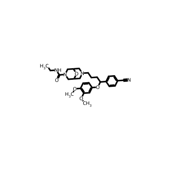 CCNC(=O)N1CC2CN(CCCC(Oc3ccc(OC)c(OC)c3)c3ccc(C#N)cc3)CC(C1)O2